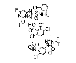 CCOc1nc(F)cc2nc(S(=O)(=O)Nc3c(Cl)cccc3Cl)nn12.COc1c(Cl)ccc(Cl)c1C(=O)O.Cc1nn(-c2cc(NS(C)(=O)=O)c(Cl)cc2Cl)c(=O)n1C(F)F